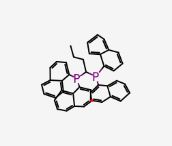 CCCC(P(c1cccc2ccccc12)c1cccc2ccccc12)P(c1cccc2ccccc12)c1cccc2ccccc12